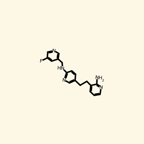 Nc1ncccc1CCc1ccc(NCc2cncc(F)c2)nc1